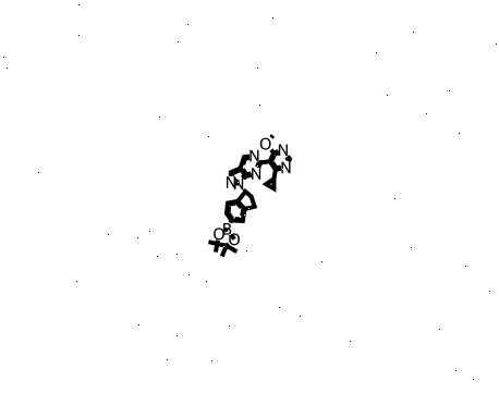 COc1ncnc(C2CC2)c1-c1ncc2cnn([C@H]3CCc4cc(B5OC(C)(C)C(C)(C)O5)ccc43)c2n1